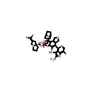 C[C@@H](O)CN1CC2CCC(C1)N2c1nc(OC[C@@]23CCCN2CC(=C(F)F)C3)nc2c(F)c(-c3ncc(F)c4sc(N)c(C#N)c34)c3c(c12)COC3